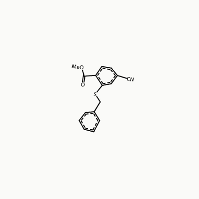 COC(=O)c1ccc(C#N)cc1SCc1ccccc1